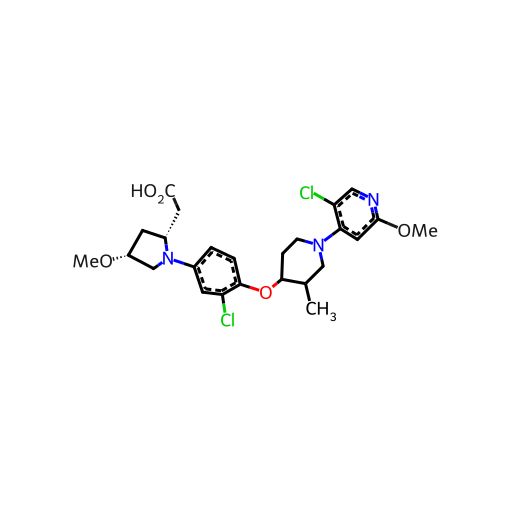 COc1cc(N2CCC(Oc3ccc(N4C[C@H](OC)C[C@@H]4CC(=O)O)cc3Cl)C(C)C2)c(Cl)cn1